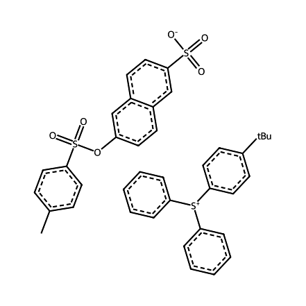 CC(C)(C)c1ccc([S+](c2ccccc2)c2ccccc2)cc1.Cc1ccc(S(=O)(=O)Oc2ccc3cc(S(=O)(=O)[O-])ccc3c2)cc1